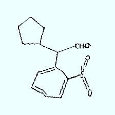 O=[C]C(c1ccccc1[SH](=O)=O)C1CCCC1